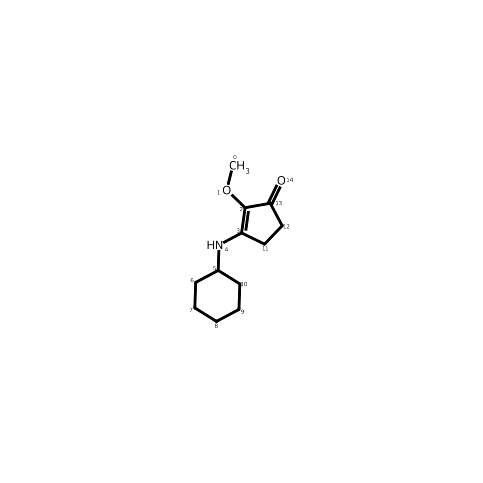 COC1=C(NC2CCCCC2)CCC1=O